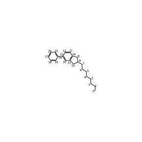 CCCCCCCCC1Cc2ccc(-c3c[c]ccc3)cc2C1